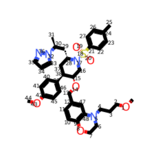 COCCCN1CCOc2ccc(CO[C@H]3CN(S(=O)(=O)c4ccc(C)cc4)[C@@H](C[C@H](C)n4cccn4)C[C@@H]3c3ccc(OC)cc3)cc21